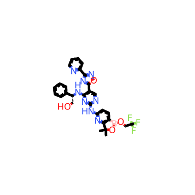 CC1(C)OB(OCC(F)(F)F)c2ccc(Nc3ncc(-c4nc(-c5ccccn5)no4)c(N[C@H](CO)c4ccccc4)n3)nc21